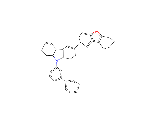 C1=CC2C3=C(CCC(C4C=c5c6c(oc5=CC4)CCCC6)=C3)N(c3cccc(-c4ccccc4)c3)C2CC1